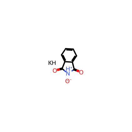 O=C1c2ccccc2C(=O)[NH+]1[O-].[KH]